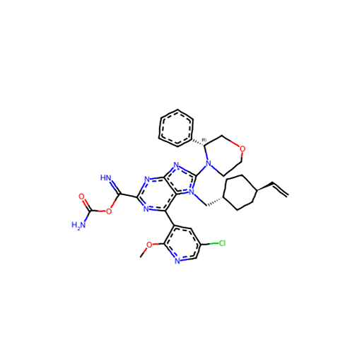 C=C[C@H]1CC[C@H](Cn2c(N3CCOC[C@H]3c3ccccc3)nc3nc(C(=N)OC(N)=O)nc(-c4cc(Cl)cnc4OC)c32)CC1